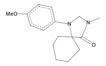 COc1ccc(N2CN(C)C(=O)C23CCCCC3)cc1